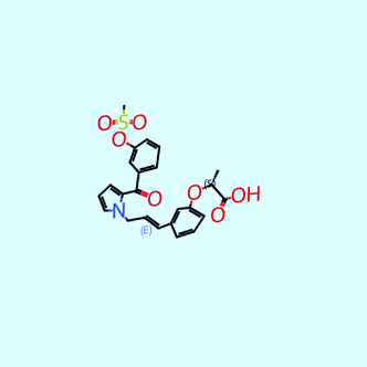 C[C@H](Oc1cccc(/C=C/Cn2cccc2C(=O)c2cccc(OS(C)(=O)=O)c2)c1)C(=O)O